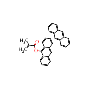 C=C(C)C(=O)Oc1c2ccccc2cc2ccccc12.c1ccc2cc3ccccc3cc2c1